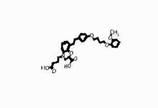 COc1ccccc1OCCCCOc1ccc(CCc2cccc3c2OC(C(=O)O)CN3CCCC(=O)O)cc1